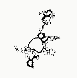 COCOc1cc(OCCNCC2NC=CN2)cc2c1C(=O)OC(C)[C@H](C)CCC(OC(=O)c1ccccc1)C1OC(C)(C)OC1CCC2